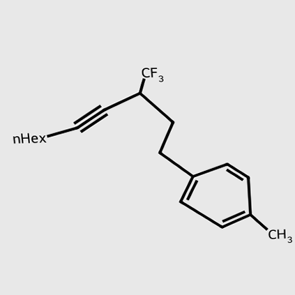 CCCCCCC#CC(CCc1ccc(C)cc1)C(F)(F)F